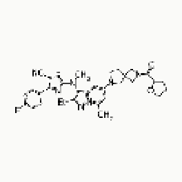 CCc1nn2c(C)cc(N3CCC4(CN(C(=O)C5CCCO5)C4)C3)cc2c1N(C)c1nc(-c2ccc(F)cc2)c(C#N)s1